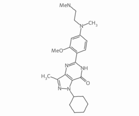 CNCCN(C)c1ccc(-c2nc3c(C)nn(C4CCCCC4)c3c(=O)[nH]2)c(OC)c1